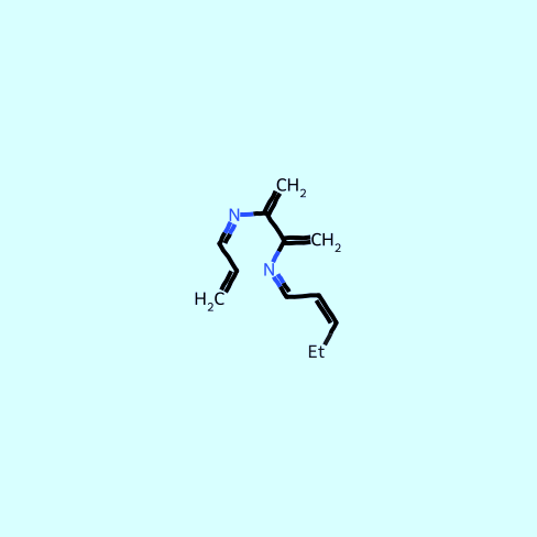 C=C/C=N\C(=C)C(=C)/N=C\C=C/CC